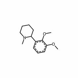 COc1cccc(C2CCCCN2C)c1OC